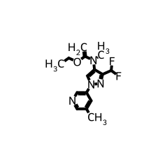 C=C(OCC)N(C)c1cn(-c2cncc(C)c2)nc1C(F)F